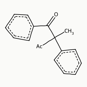 CC(=O)C(C)(C(=O)c1ccccc1)c1ccccc1